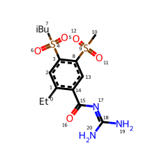 CCc1cc(S(=O)(=O)C(C)CC)c(S(C)(=O)=O)cc1C(=O)N=C(N)N